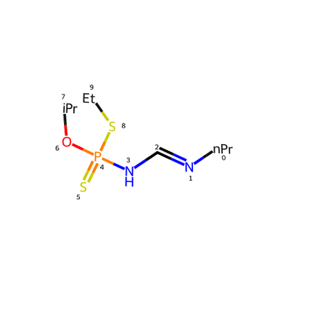 CCCN=CNP(=S)(OC(C)C)SCC